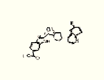 C[C@@H](c1nc2ccc(C(=O)O)cc2[nH]1)[C@H]1CC[C@@H](c2ccnc3ccc(F)cc32)CC1